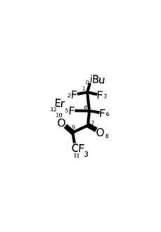 CCC(C)C(F)(F)C(F)(F)C(=O)C(=O)C(F)(F)F.[Er]